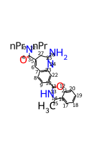 CCCN(CCC)C(=O)C1=Cc2ccc(C(=O)NC(C)c3ccccc3)cc2N=C(N)C1